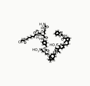 CCC1(Cn2ncc(-c3ccc(N4CCc5cccc(C(=O)Nc6nc7ccccc7s6)c5C4)nc3C(=O)O)c2C)CC2(C)CC(C)(C)CC(OCCN(CCS(=O)(=O)O)C(=O)OCc3ccc(NC(=O)[C@H](CCCNC(N)=O)NC(=O)C(NC(=O)CCCCCNC(=O)CCl)C(C)C)cc3)(C2)C1